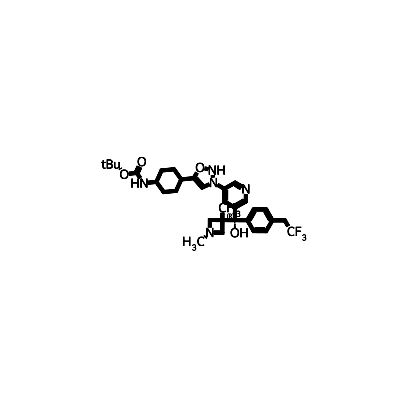 CN1CC(C)([C@](O)(c2ccc(CC(F)(F)F)cc2)c2cncc(N3C=C(C4CCC(NC(=O)OC(C)(C)C)CC4)ON3)c2)C1